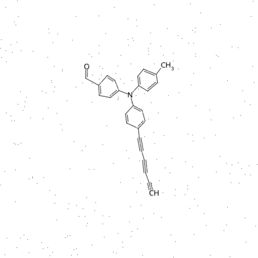 C#CC#CC#Cc1ccc(N(c2ccc(C)cc2)c2ccc(C=O)cc2)cc1